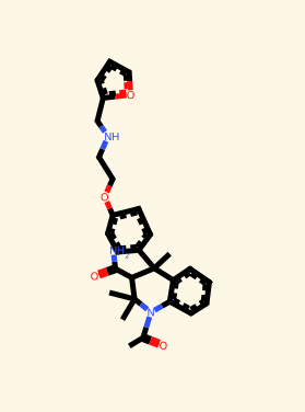 CC(=O)N1c2cc[c]cc2C(C)(c2ccc(OCCNCc3ccco3)cc2)C(C(N)=O)C1(C)C